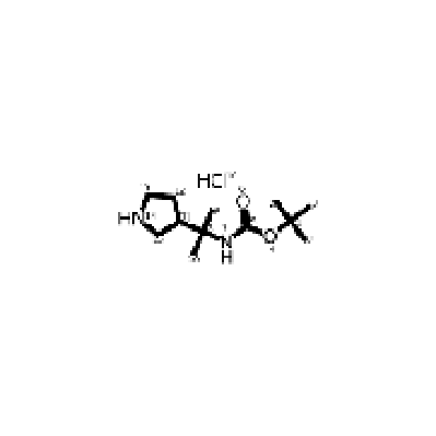 CC(C)(C)OC(=O)NC(C)(C)C1CCNC1.Cl